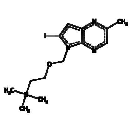 Cc1cnc2c(cc(I)n2COCC[Si](C)(C)C)n1